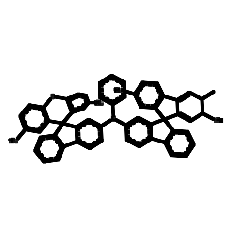 CC1C=C2C(=CC1C(C)(C)C)C1(c3cc(C(C)(C)C)ccc32)c2ccccc2-c2ccc(N(c3ccccc3)c3ccc4c(c3)C3(c5cc(C(C)(C)C)ccc5Sc5ccc(C(C)(C)C)cc53)c3ccccc3-4)cc21